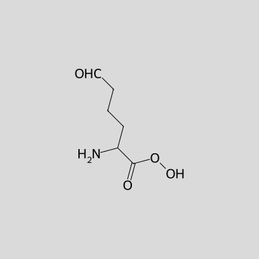 NC(CCCC=O)C(=O)OO